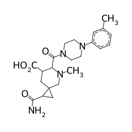 Cc1cccc(N2CCN(C(=O)C3C(C(=O)O)CC4(CC4C(N)=O)CN3C)CC2)c1